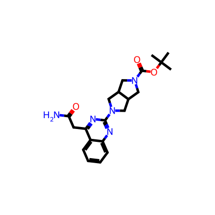 CC(C)(C)OC(=O)N1CC2CN(c3nc(CC(N)=O)c4ccccc4n3)CC2C1